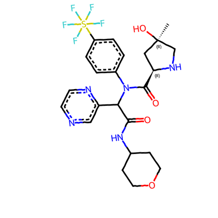 C[C@]1(O)CN[C@@H](C(=O)N(c2ccc(S(F)(F)(F)(F)F)cc2)C(C(=O)NC2CCOCC2)c2cnccn2)C1